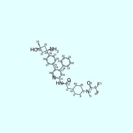 CN(C(=O)C(F)F)C1CCC(CC(=O)Nc2cc(-c3ccccc3)c(-c3ccc([C@]4(N)C[C@](C)(O)C4)cc3)cn2)CC1